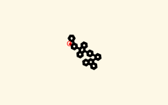 c1ccc(-c2cc3ccccc3c3ccccc23)c(-c2ccc(-c3c4ccccc4c(-c4ccc5oc6ccccc6c5c4)c4ccccc34)cc2)c1